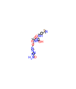 Cc1ncsc1-c1ccc([C@H](C)NC(=O)[C@@H]2C[C@@H](O)CN2C(=O)[C@@H](NC(=O)COCCN2CCN(c3cnc(C(N)=O)cn3)CC2)C(C)(C)C)cc1